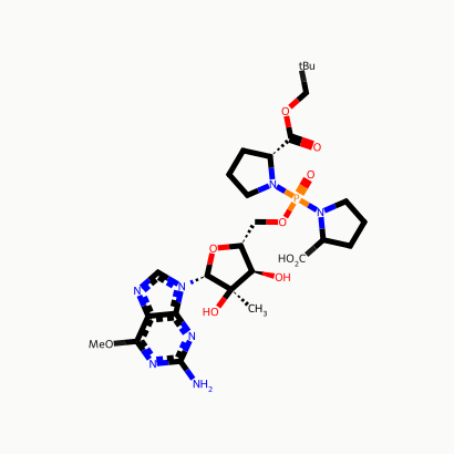 COc1nc(N)nc2c1ncn2[C@@H]1O[C@H](COP(=O)(N2CCCC2C(=O)O)N2CCC[C@@H]2C(=O)OCC(C)(C)C)[C@@H](O)[C@@]1(C)O